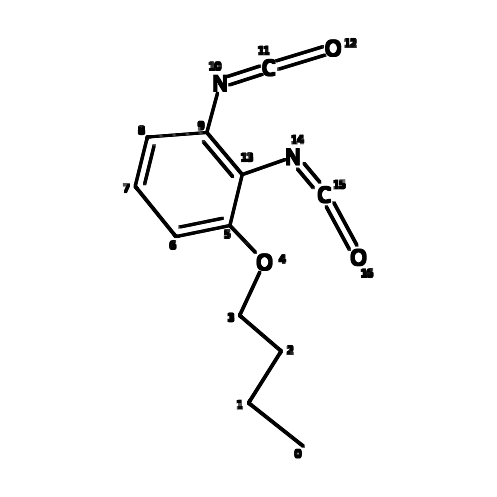 CCCCOc1cccc(N=C=O)c1N=C=O